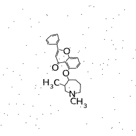 CC1CN(C)CCCC1Oc1cccc2oc(-c3ccccc3)cc(=O)c12